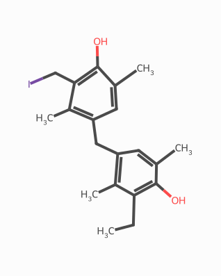 CCc1c(C)c(Cc2cc(C)c(O)c(CI)c2C)cc(C)c1O